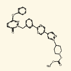 CC(C)(C)OC(=O)ON1CCC(n2cc(-c3cnc(-c4cccc(Cn5nc(Oc6ccccc6)ccc5=O)c4)nc3)cn2)CC1